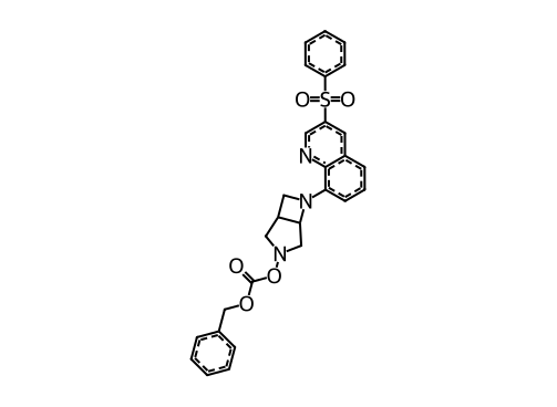 O=C(OCc1ccccc1)ON1CC2CN(c3cccc4cc(S(=O)(=O)c5ccccc5)cnc34)C2C1